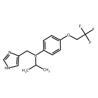 CC(C)N(Cc1c[nH]cn1)c1ccc(OCC(F)(F)F)cc1